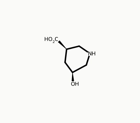 O=C(O)[C@H]1CNC[C@@H](O)C1